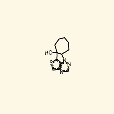 OC1(c2cccs2)CCCCCC1n1cncn1